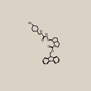 CC(=O)C1CCC(CNC(=O)N/N=C2\CCC3CCN(C(=O)OCC4c5ccccc5-c5ccccc54)C23)CC1